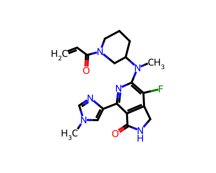 C=CC(=O)N1CCCC(N(C)c2nc(-c3cn(C)cn3)c3c(c2F)CNC3=O)C1